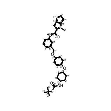 Cn1c(C(=O)Nc2cccc(COc3ccc(O[C@H]4CC[C@@H](NC(=O)OC(C)(C)C)CC4)cc3)c2)cc2sccc21